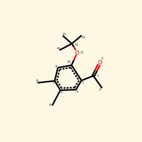 CC(=O)c1cc(C)c(C)cc1OC(C)(C)C